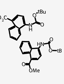 CC(C)(C)OC(=O)Nc1ccc(C(=O)O)c2ccccc12.COC(=O)c1ccc(NC(=O)OC(C)(C)C)c2ccccc12